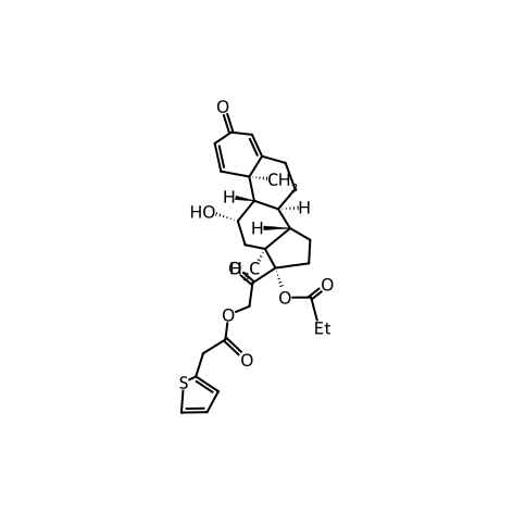 CCC(=O)O[C@@]1(C(=O)COC(=O)Cc2cccs2)CC[C@H]2[C@@H]3CCC4=CC(=O)C=C[C@]4(C)[C@H]3[C@@H](O)C[C@@]21C